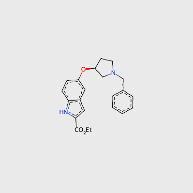 CCOC(=O)c1cc2cc(O[C@H]3CCN(Cc4ccccc4)C3)ccc2[nH]1